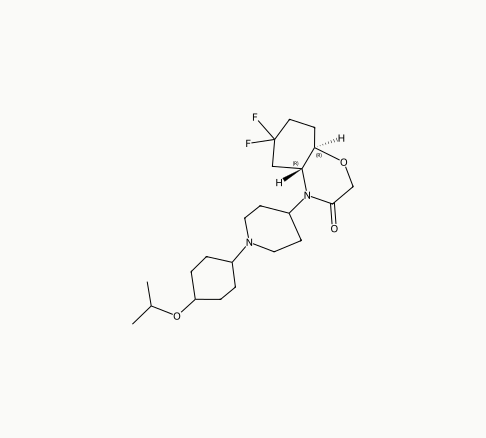 CC(C)OC1CCC(N2CCC(N3C(=O)CO[C@@H]4CCC(F)(F)C[C@H]43)CC2)CC1